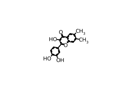 Cc1cc2oc(-c3ccc(O)c(O)c3)c(O)c(=O)c2cc1C